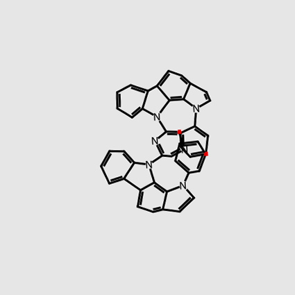 c1ccc(-n2ccc3ccc4c5ccccc5n(-c5cncc(-n6c7ccccc7c7ccc8ccn(-c9ccccc9)c8c76)n5)c4c32)cc1